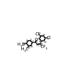 Bc1ccc(C(=O)/C=C(\c2cc(Cl)cc(Cl)c2)C(F)(F)F)cc1C